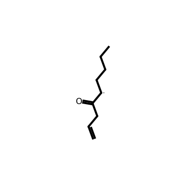 C=CCC(=O)[CH]CCCC